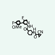 COc1cc(F)ccc1-c1cc(NC(=O)C2CCCC(NC(=O)C3(C#N)CC3)C2)ncc1F